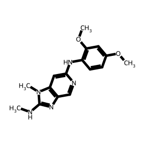 CNc1nc2cnc(Nc3ccc(OC)cc3OC)cc2n1C